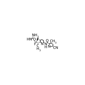 Cc1cc(C#N)cnc1C(=O)Nc1ccc(F)c([C@H](C)C(F)(F)COC(=N)N)n1